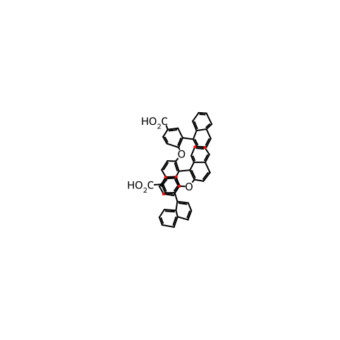 O=C(O)c1ccc(Oc2ccc3ccccc3c2-c2c(Oc3ccc(C(=O)O)cc3-c3cccc4ccccc34)ccc3ccccc23)c(-c2cccc3ccccc23)c1